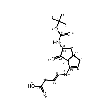 CC(C)(C)OC(=O)N[C@H]1CN2CC=C(NC=CCC(=O)O)N2C1=O